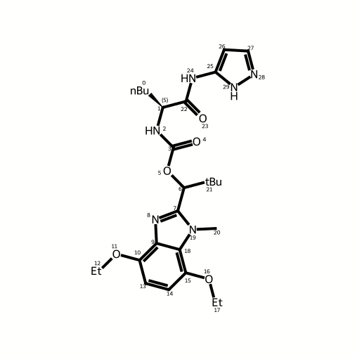 CCCC[C@H](NC(=O)OC(c1nc2c(OCC)ccc(OCC)c2n1C)C(C)(C)C)C(=O)Nc1ccn[nH]1